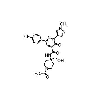 Cn1cc(-n2nc(-c3ccc(Cl)cc3)cc(C(=O)NC3(CO)CCN(C(=O)C(F)(F)F)CC3)c2=O)cn1